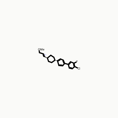 COC/C=C/[C@H]1CC[C@H](c2ccc(-c3ccc(Cl)c(F)c3)cc2)CC1